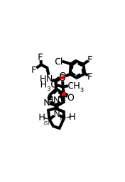 CC(C)(Oc1cc(F)c(F)cc1Cl)C(=O)N[C@H]1C[C@H]2CC[C@@H](C1)N2c1ccc(C(=O)NCC(F)F)cn1